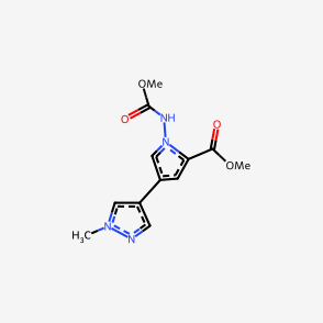 COC(=O)Nn1cc(-c2cnn(C)c2)cc1C(=O)OC